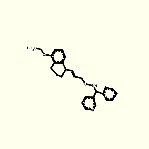 O=C(O)COc1cccc2c1CCCC2C=CCONC(c1ccccc1)c1cccnc1